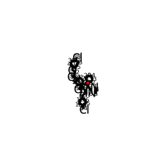 CC(c1ncc[nH]1)N(CCc1ccc(Cl)cc1)C(=O)C1(Cc2ccccc2)CCN(C(=O)COc2ccc(Cl)cc2)CC1